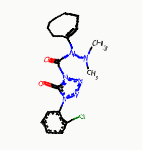 CN(C)N(C(=O)n1nnn(-c2ccccc2Cl)c1=O)C1=CCCCC1